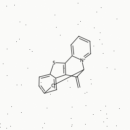 C=C1c2c3sc4ccc(cc24)CC1[n+]1ccccc1-3